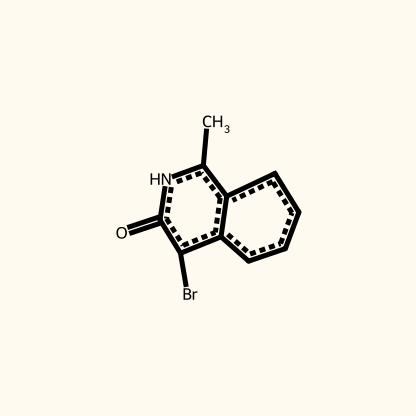 Cc1[nH]c(=O)c(Br)c2ccccc12